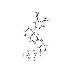 COc1ncc(N2CCOc3ccc(OC4CCN(CC5CCN(C)CC5)C4)cc32)cc1C#N